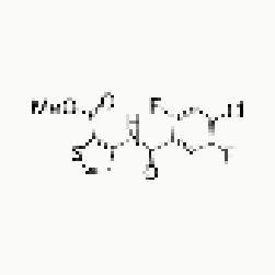 COC(=O)c1sccc1NC(=O)c1cc(F)c(Cl)cc1F